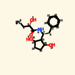 CC(C)C[C@H](O)C(=O)N[C@H](Cc1ccccc1)C1C(O)CCC1O